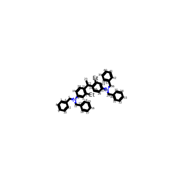 CCc1cc(N(Cc2ccccc2)Cc2ccccc2)ccc1C(C)c1ccc(N(Cc2ccccc2)Cc2ccccc2)cc1CC